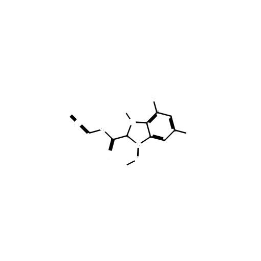 CCON1c2cc(C(F)(F)F)cc([N+](=O)[O-])c2[S+]([O-])C1C(=O)NC=C=O